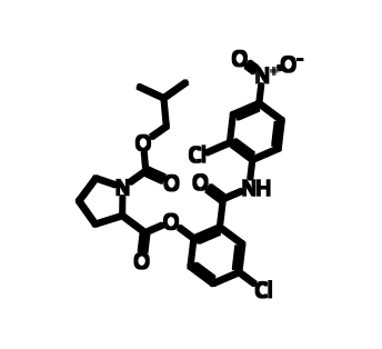 CC(C)COC(=O)N1CCCC1C(=O)Oc1ccc(Cl)cc1C(=O)Nc1ccc([N+](=O)[O-])cc1Cl